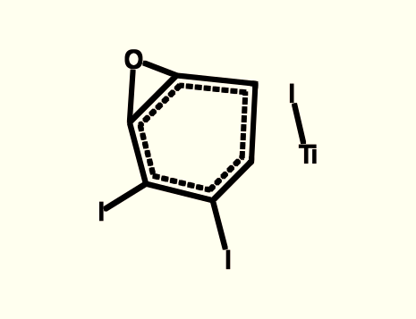 Ic1ccc2c(c1I)O2.[Ti][I]